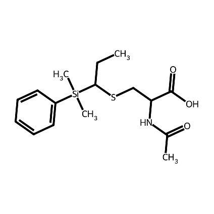 CCC(SCC(NC(C)=O)C(=O)O)[Si](C)(C)c1ccccc1